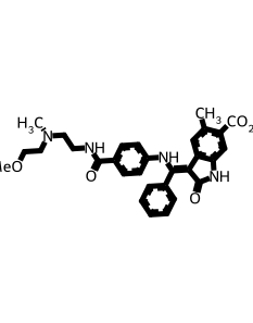 COCCN(C)CCNC(=O)c1ccc(N/C(=C2/C(=O)Nc3cc(C(=O)O)c(C)cc32)c2ccccc2)cc1